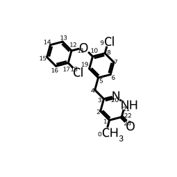 Cc1cc(Cc2ccc(Cl)c(Oc3ccccc3Cl)c2)n[nH]c1=O